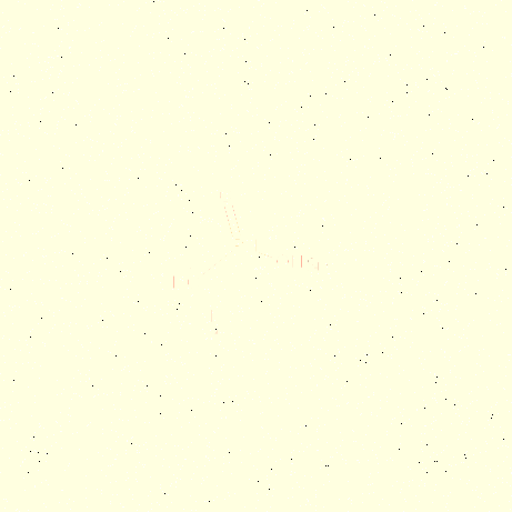 O=[PH](O)O.[H+].[Sr+2]